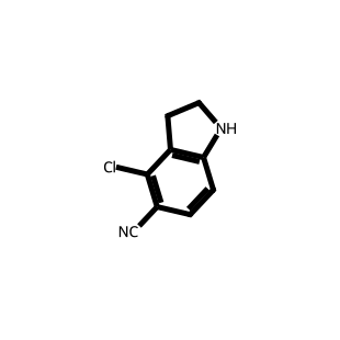 N#Cc1ccc2c(c1Cl)CCN2